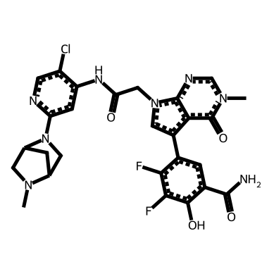 CN1CC2CC1CN2c1cc(NC(=O)Cn2cc(-c3cc(C(N)=O)c(O)c(F)c3F)c3c(=O)n(C)cnc32)c(Cl)cn1